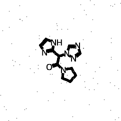 O=C(C(c1ncc[nH]1)n1cncn1)N1CCCC1